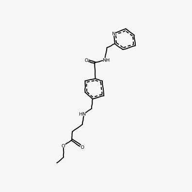 CCOC(=O)CCNCc1ccc(C(=O)NCc2ccccn2)cc1